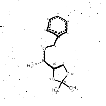 C[C@H](OCc1ccccc1)C1COC(C)(C)O1